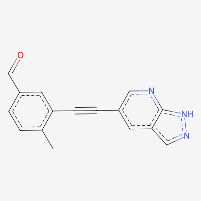 Cc1ccc(C=O)cc1C#Cc1cnc2[nH]ncc2c1